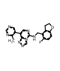 Cc1ncncc1-c1cnc(NCc2c(F)ccc3c2CCO3)n2cnnc12